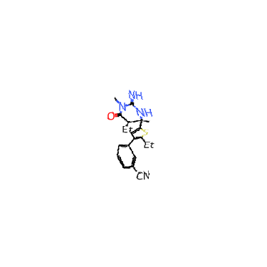 CCc1sc([C@@]2(C)NC(=N)N(C)C(=O)[C@@H]2CC)cc1-c1cccc(C#N)c1